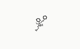 CCC(CC=Cc1ccccc1)(NCCC1CC1)c1ccccc1